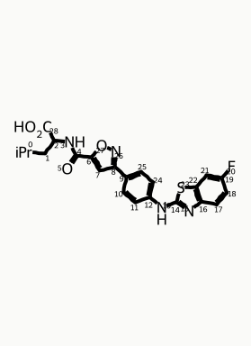 CC(C)CC(NC(=O)c1cc(-c2ccc(Nc3nc4ccc(F)cc4s3)cc2)no1)C(=O)O